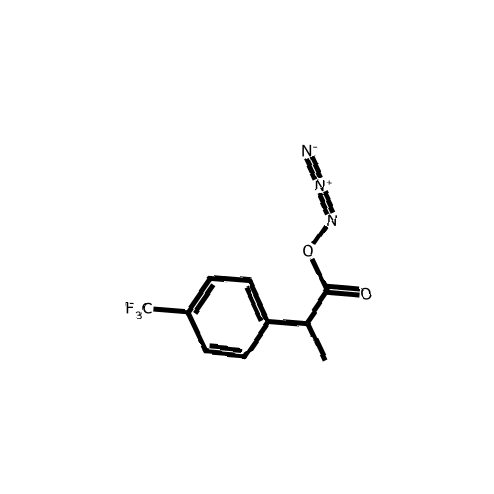 CC(C(=O)ON=[N+]=[N-])c1ccc(C(F)(F)F)cc1